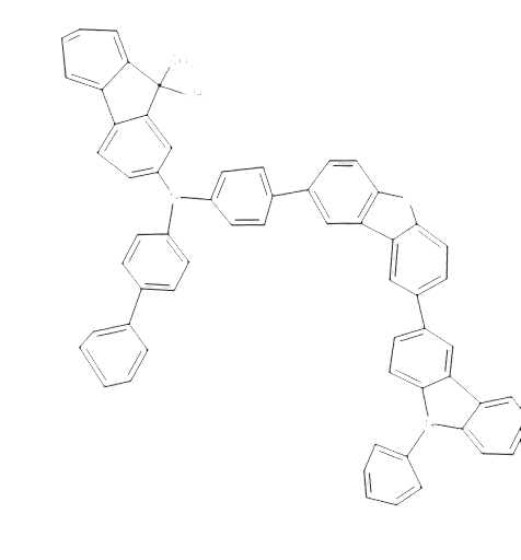 CC1(C)c2ccccc2-c2ccc(N(c3ccc(-c4ccccc4)cc3)c3ccc(-c4ccc5sc6ccc(-c7ccc8c(c7)c7ccccc7n8-c7ccccc7)cc6c5c4)cc3)cc21